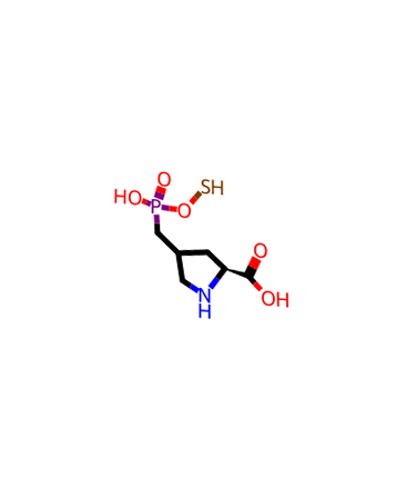 O=C(O)[C@@H]1CC(CP(=O)(O)OS)CN1